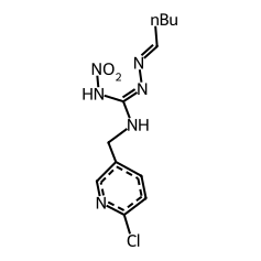 CCCCC=NN=C(NCc1ccc(Cl)nc1)N[N+](=O)[O-]